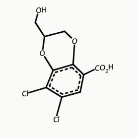 O=C(O)c1cc(Cl)c(Cl)c2c1OCC(CO)O2